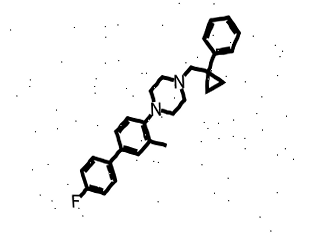 Cc1cc(-c2ccc(F)cc2)ccc1N1CCN(CC2(c3ccccc3)CC2)CC1